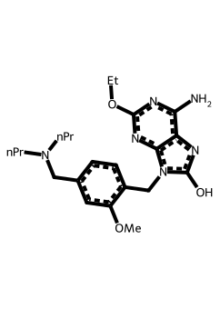 CCCN(CCC)Cc1ccc(Cn2c(O)nc3c(N)nc(OCC)nc32)c(OC)c1